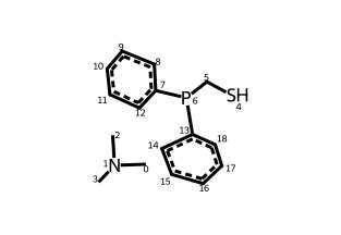 CN(C)C.SCP(c1ccccc1)c1ccccc1